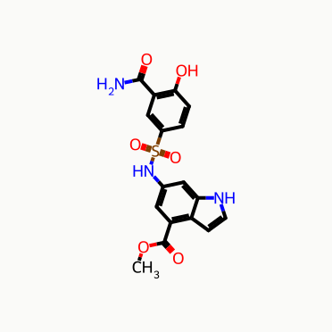 COC(=O)c1cc(NS(=O)(=O)c2ccc(O)c(C(N)=O)c2)cc2[nH]ccc12